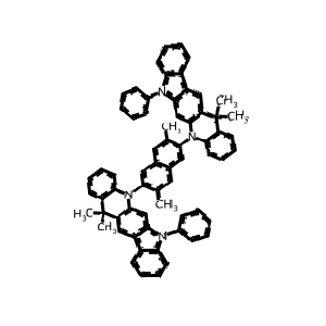 Cc1cc2cc(N3c4ccccc4C(C)(C)c4cc5c6ccccc6n(-c6ccccc6)c5cc43)c(C)cc2cc1N1c2ccccc2C(C)(C)c2cc3c4ccccc4n(-c4ccccc4)c3cc21